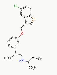 CC(C)CC(NCC(C(=O)O)c1cccc(OCc2csc3ccc(Cl)cc23)c1)C(=O)O